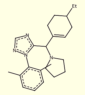 CCC1CC=C(C(c2ncnn2-c2c(C)cccc2C)N2CCCC2)CC1